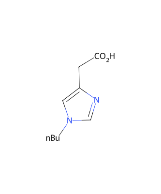 CCCCn1cnc(CC(=O)O)c1